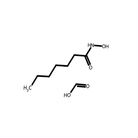 CCCCCCC(=O)NO.O=CO